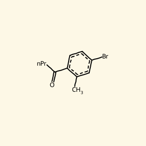 CCCC(=O)c1ccc(Br)cc1C